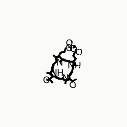 COOCCCC1=C(C)c2cc3[nH]c(cc4nc(cc5[nH]c(cc1n2)c(CCC(=O)OC)c5C)C(C(C)=O)=C4C)c(C(C)=O)c3C